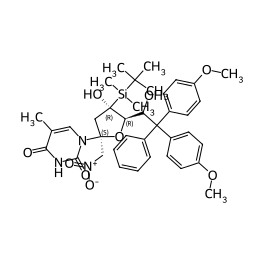 COc1ccc(C(c2ccccc2)(c2ccc(OC)cc2)C(O)[C@H]2O[C@@](C[N+](=O)[O-])(n3cc(C)c(=O)[nH]c3=O)C[C@@]2(O)[Si](C)(C)C(C)(C)C)cc1